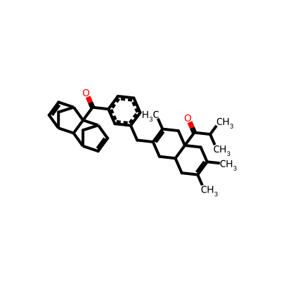 CC1=C(C)CC2(C(=O)C(C)C)CC(C)=C(Cc3cccc(C(=O)C45C6C=CC(C6)C4C4C=CC5C4)c3)CC2C1